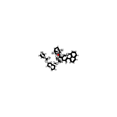 CC(C)(C)OC(=O)N1[C@@H]2CC[C@H]1CN(c1nc(OC[C@]34CCCN3C[C@@H](OC(=O)n3ccnc3)C4)nc3c(F)c(-c4cccc5cccc(Cl)c45)ncc13)C2